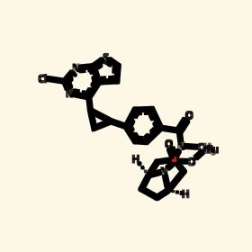 CN(C(=O)c1ccc(C2CC2c2nc(Cl)nc3sccc23)cc1)C1C[C@H]2CC[C@@H](C1)N2C(=O)OC(C)(C)C